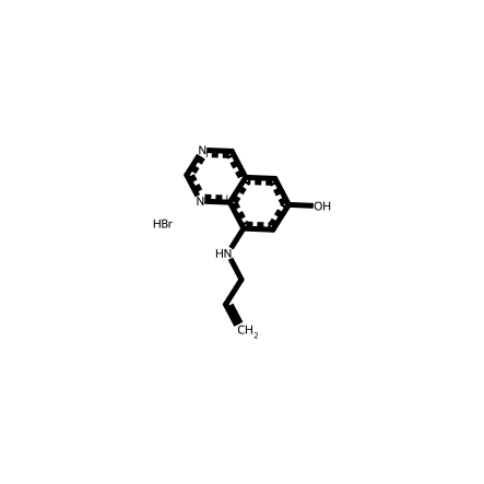 Br.C=CCNc1cc(O)cc2cncnc12